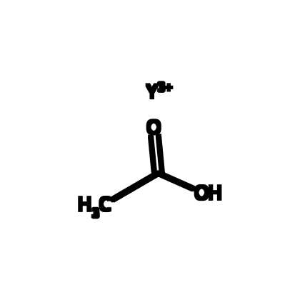 CC(=O)O.[Y+3]